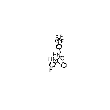 O=C(NCc1ccc(OC(F)(F)F)cc1)c1[nH]c2ccc(F)cc2c1-c1ccccc1